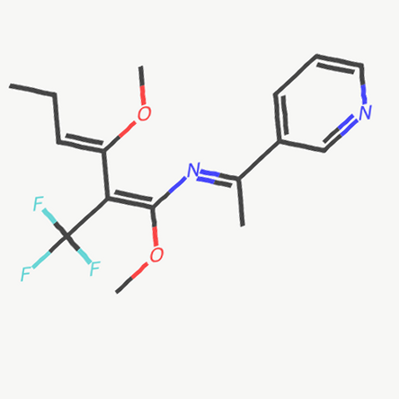 CC/C=C(OC)/C(=C(\N=C(/C)c1cccnc1)OC)C(F)(F)F